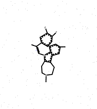 C/C(=C/n1c2c(c3cc(C)ccc31)CCN(C)CC2)c1ccc(F)c(F)c1